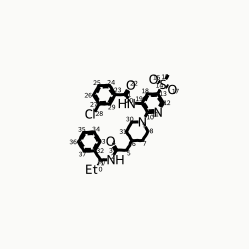 CC[C@@H](NC(=O)CC1CCN(c2ncc(S(C)(=O)=O)cc2NC(=O)c2cccc(Cl)c2)CC1)c1ccccc1